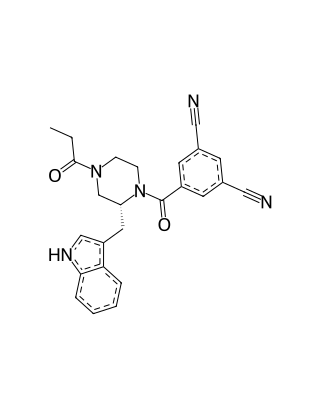 CCC(=O)N1CCN(C(=O)c2cc(C#N)cc(C#N)c2)[C@H](Cc2c[nH]c3ccccc23)C1